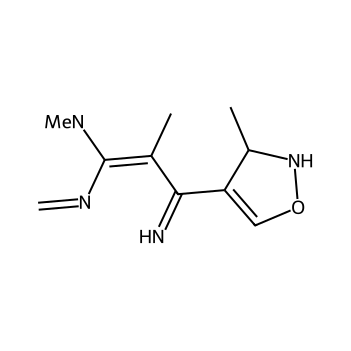 C=N/C(NC)=C(/C)C(=N)C1=CONC1C